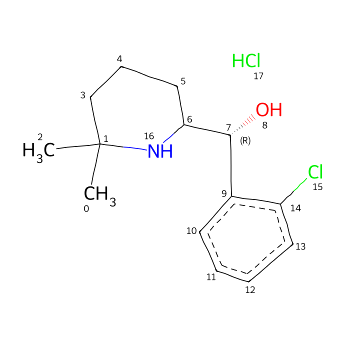 CC1(C)CCCC([C@H](O)c2ccccc2Cl)N1.Cl